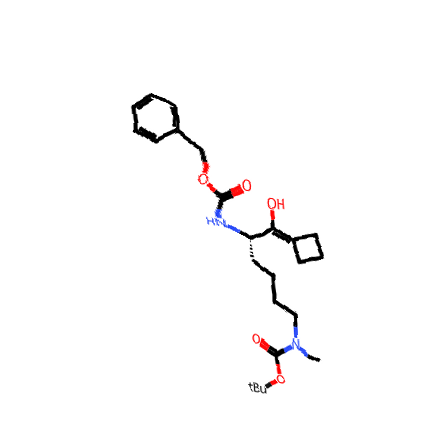 CN(CCCC[C@H](NC(=O)OCc1ccccc1)C(O)=C1CCC1)C(=O)OC(C)(C)C